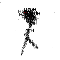 CCCCCCCCCCCCCCCCOC[C@@H](COC(=O)CCCC(=O)NCCCCCO[C@H]1OC(CO)[C@@H](O[C@@H]2OC(CO)[C@H](O[C@H]3OC(CO)[C@H](O)[C@H](O[C@@H]4OC(CO)[C@H](O)[C@H](O[C@@H]5OC(CO)[C@H](O)[C@H](O)C5O[C@@H]5OC(C)[C@@H](O)[C@H](O)C5O)C4NC(C)=O)C3O)[C@H](O)C2O)[C@H](O)C1O)OCCCCCCCCCCCCCC